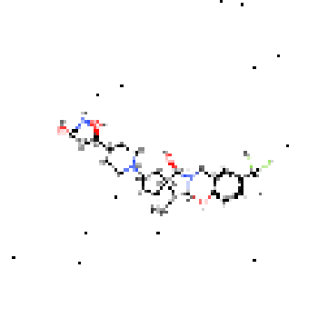 CC1C2Oc3ccc(C(F)(F)F)cc3CN2C(=O)[C@]12CC[C@@H](N1CCC(c3cc(O)no3)CC1)C2